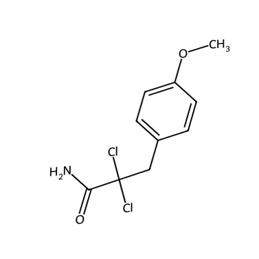 COc1ccc(CC(Cl)(Cl)C(N)=O)cc1